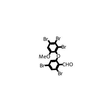 COc1cc(Br)c(Br)c(Br)c1Oc1cc(Br)cc(Br)c1C=O